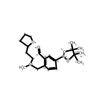 CN(CCC1CCCO1)Cc1ccc(B2OC(C)(C)C(C)(C)O2)cc1C=O